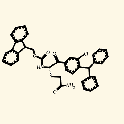 NC(=O)CC[C@H](NC(=O)OCC1c2ccccc2-c2ccccc21)C(=O)c1ccc([C](c2ccccc2)c2ccccc2)c(Cl)c1